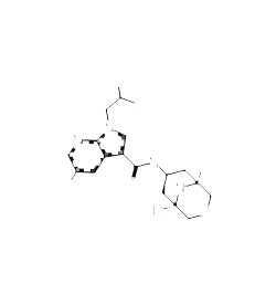 O=C(NC1C[C@H]2COC[C@@H](C1)N2)c1cn(CC(F)F)c2ncc(F)cc12